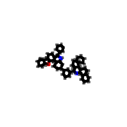 c1ccc(-c2nc3cc(-c4cccc(-c5nc6c7ccccc7ccc6c6c5ccc5ccccc56)c4)ccc3c3c2ccc2c4ccccc4oc23)cc1